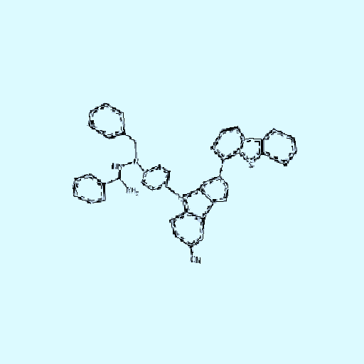 N#Cc1ccc2c(c1)c1ccc(-c3cccc4c3sc3ccccc34)cc1n2-c1ccc(N(Cc2ccccc2)NC(N)c2ccccc2)cc1